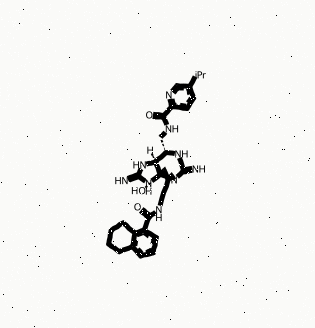 CC(C)c1ccc(C(=O)NC[C@@H]2NC(=N)N3CC(NC(=O)c4cccc5c4CCCC5)[C@@H](O)C34NC(=N)N[C@@H]24)nc1